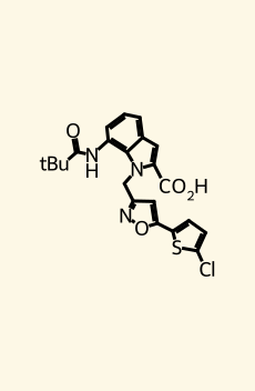 CC(C)(C)C(=O)Nc1cccc2cc(C(=O)O)n(Cc3cc(-c4ccc(Cl)s4)on3)c12